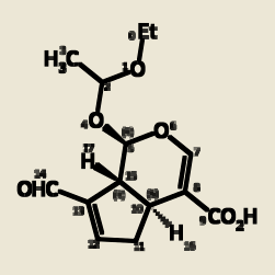 CCOC(C)O[C@H]1OC=C(C(=O)O)[C@H]2CC=C(C=O)[C@H]12